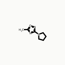 Cc1nc(N2CCCC2)no1